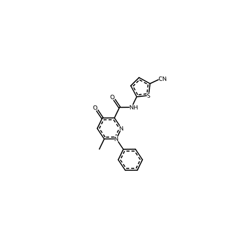 Cc1cc(=O)c(C(=O)Nc2ccc(C#N)s2)nn1-c1ccccc1